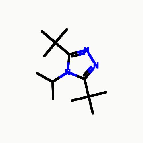 CC(C)n1c(C(C)(C)C)nnc1C(C)(C)C